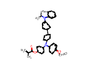 C=C(C)C(=O)Oc1ccc(N(c2ccc(OC=O)cc2)c2ccc(-c3ccc(N(c4ccccc4)C(C)CCCCC)cc3)cc2)cc1